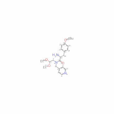 CCOC(CN(Cc1ccncc1)C(=O)C(N)Cc1ccc(OC(C)(C)C)cc1)OCC